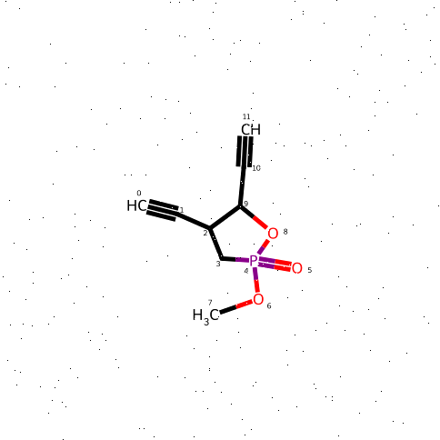 C#CC1CP(=O)(OC)OC1C#C